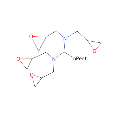 CCCCCC(N(CC1CO1)CC1CO1)N(CC1CO1)CC1CO1